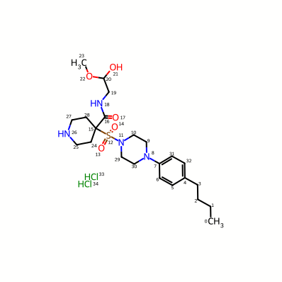 CCCCc1ccc(N2CCN(S(=O)(=O)C3(C(=O)NCC(O)OC)CCNCC3)CC2)cc1.Cl.Cl